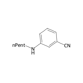 CCCCCNc1cccc(C#N)c1